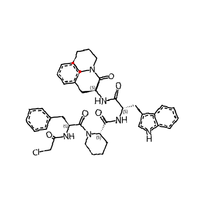 O=C(CCl)N[C@@H](Cc1ccccc1)C(=O)N1CCCC[C@H]1C(=O)N[C@@H](Cc1c[nH]c2ccccc12)C(=O)N[C@@H](Cc1ccccc1)C(=O)N1CCCCC1